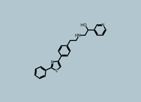 OC(CNCCc1ccc(-c2csc(-c3ccccc3)n2)cc1)c1cccnc1